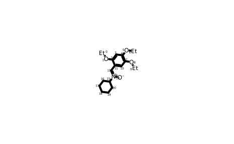 CCOc1cc(OCC)c(OCC)cc1C=[N+]([O-])C1CCCCC1